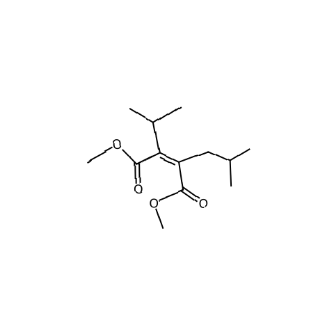 COC(=O)C(CC(C)C)=C(C(=O)OC)C(C)C